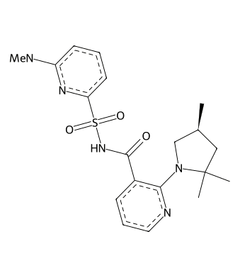 CNc1cccc(S(=O)(=O)NC(=O)c2cccnc2N2C[C@@H](C)CC2(C)C)n1